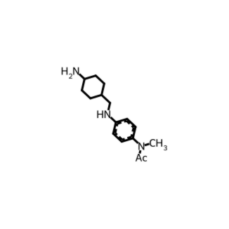 CC(=O)N(C)c1ccc(NCC2CCC(N)CC2)cc1